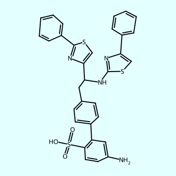 Nc1ccc(S(=O)(=O)O)c(-c2ccc(CC(Nc3nc(-c4ccccc4)cs3)c3csc(-c4ccccc4)n3)cc2)c1